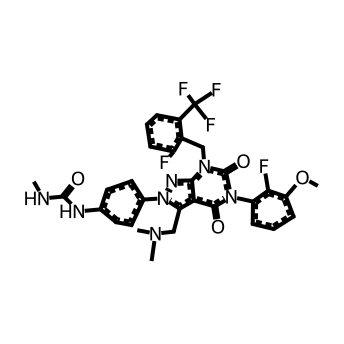 CNC(=O)Nc1ccc(-n2nc3c(c2CN(C)C)c(=O)n(-c2cccc(OC)c2F)c(=O)n3Cc2c(F)cccc2C(F)(F)F)cc1